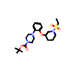 CCS(=O)(=O)N1CCCC(Oc2ccccc2N2CCN(C(=O)OC(C)(C)C)CC2)C1